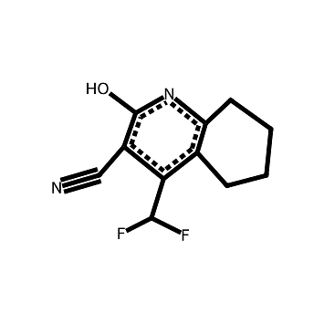 N#Cc1c(O)nc2c(c1C(F)F)CCCC2